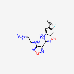 Bc1cc(N/C(=N\O)c2nonc2NCCN)ccc1F